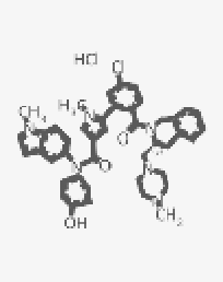 CN1CCN(C[C@@H]2Cc3ccccc3CN2C(=O)c2ccc(Cl)cc2-c2cc(C(=O)N(c3ccc(O)cc3)c3ccc4c(ccn4C)c3)cn2C)CC1.Cl